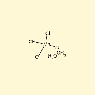 O.O.[Cl][Mn]([Cl])([Cl])[Cl]